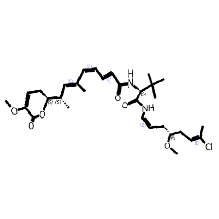 COC1=CC[C@@H]([C@@H](C)/C=C(C)/C=C\C=C\C(=O)N[C@H](C(=O)N/C=C\C[C@H](C/C=C(\C)Cl)OC)C(C)(C)C)OC1=O